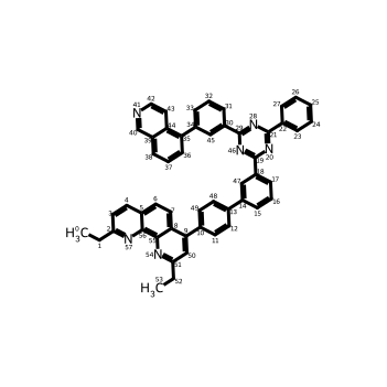 CCc1ccc2ccc3c(-c4ccc(-c5cccc(-c6nc(-c7ccccc7)nc(-c7cccc(-c8cccc9cnccc89)c7)n6)c5)cc4)cc(CC)nc3c2n1